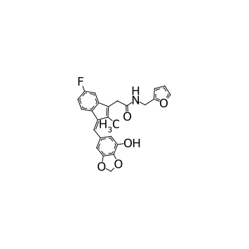 CC1=C(CC(=O)NCc2ccco2)c2cc(F)ccc2C1=Cc1cc(O)c2c(c1)OCO2